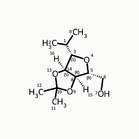 CC(C)[C@@H]1O[C@H](CO)[C@H]2OC(C)(C)O[C@H]21